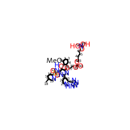 COc1ccccc1Oc1c(NS(=O)(=O)c2ccc(C)cn2)nc(-c2ccnc(-c3nnn[nH]3)c2)nc1OCCOC(=O)OCCCCON(O)O